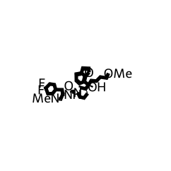 CNCC(CC1CCC(F)(F)CC1)NC(=O)N1CCC[C@@H]([C@@](O)(CCCCOC)c2cccc3ccoc23)C1